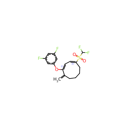 C=C1CCCC/C(S(=O)(=O)C(F)F)=C\C=C/1Oc1cc(F)cc(F)c1